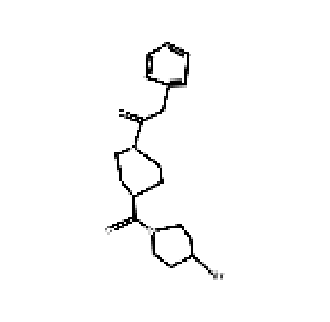 CC(C)C1CCN(C(=O)C2CCN(C(=O)Cc3ccccc3)CC2)CC1